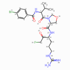 CC(C)C(NC(=O)c1ccc(Br)cc1)C(=O)N1COC[C@H]1C(=O)N[C@@H](CCCNC(=N)N)C(=O)CF